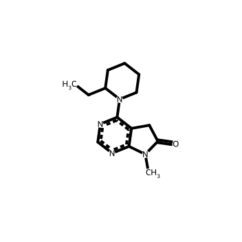 CCC1CCCCN1c1ncnc2c1CC(=O)N2C